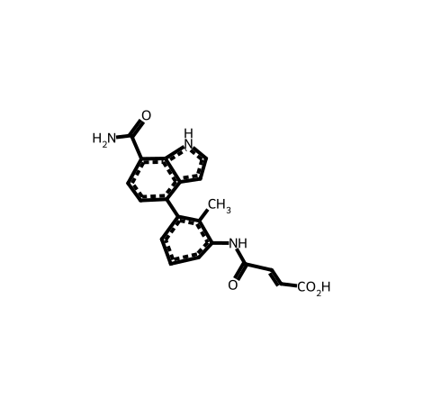 Cc1c(NC(=O)C=CC(=O)O)cccc1-c1ccc(C(N)=O)c2[nH]ccc12